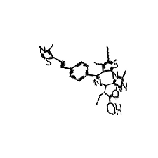 CC[C@H](C(=O)O)C1N=C(c2ccc(C=Cc3scnc3C)cc2)c2c(sc(C)c2C)-n2c(C)nnc21